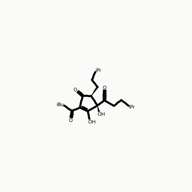 CCC(C)C(=O)C1=C(O)[C@@](O)(C(=O)CCC(C)C)[C@H](CCC(C)C)C1=O